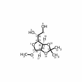 CO[C@@H]1O[C@@H]([C@H](O)CO)[C@H]2OC(C)(C)O[C@@H]12